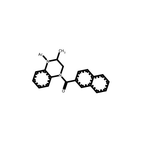 CC(=O)N1c2ccccc2N(C(=O)c2ccc3ccccc3c2)CC1C